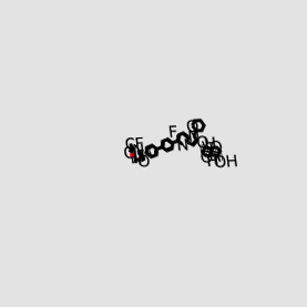 CN(C)S(=O)(=NC(=O)C(F)(F)F)c1ccc(-c2ccc(-c3nc4cc(O[C@@H]5CO[C@H]6[C@@H]5OC[C@H]6O)n(C5CCCCO5)c4cc3F)cc2)cc1